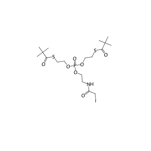 CC(C)(C)C(=O)SCCOP(=O)(OCCNC(=O)CI)OCCSC(=O)C(C)(C)C